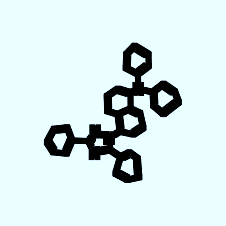 c1ccc(-c2nc(-c3ccccc3)n(-c3cccc4c(N(c5ccccc5)c5ccccc5)cccc34)n2)cc1